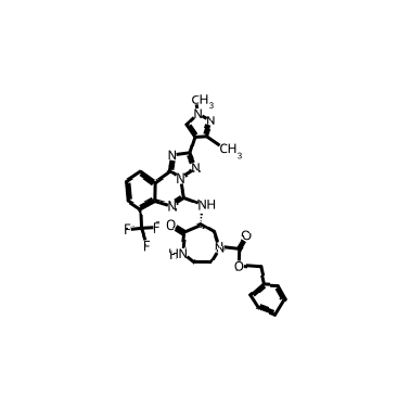 Cc1nn(C)cc1-c1nc2c3cccc(C(F)(F)F)c3nc(N[C@@H]3CN(C(=O)OCc4ccccc4)CCNC3=O)n2n1